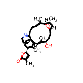 CC1=C[C@@H](C2=C(C)[C@@H]3/C=C(\C)[C@@H](O)CC[C@@H]4C[C@@H](C)[C@@H](O4)/C(C)=C/CCC4=NCCC[C@@]43CC2)OC1=O